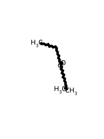 CCCCCCCC/C=C\CCCCCCCC(=O)OCCCCCCCCCCCC(C)C